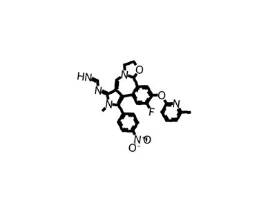 Cc1cccc(Oc2cc3c(cc2F)C2=C(c4ccc([N+](=O)[O-])cc4)N(C)/C(=N/C=N)C2=CN2CCOC32)n1